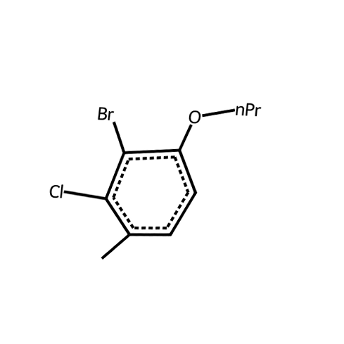 CCCOc1ccc(C)c(Cl)c1Br